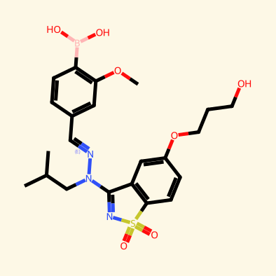 COc1cc(/C=N/N(CC(C)C)C2=NS(=O)(=O)c3ccc(OCCCO)cc32)ccc1B(O)O